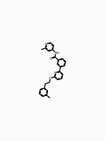 Cc1cccc(CCOc2cccc(-c3cccc(C(=O)Nc4ccnc(C)c4)c3)n2)c1